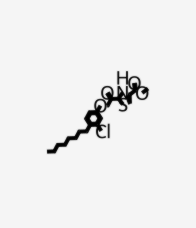 CCCCCCCCc1ccc(OCC(=O)C2NC(C(=O)OC)=CS2)cc1Cl